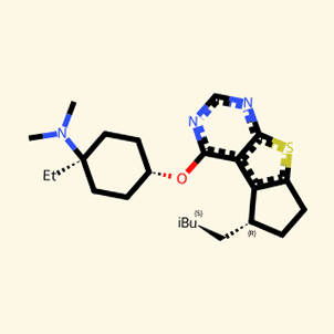 CC[C@H](C)C[C@H]1CCc2sc3ncnc(O[C@H]4CC[C@](CC)(N(C)C)CC4)c3c21